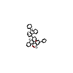 C1=CCCC(N2C3=C(C(C4CC=CC5=C4SC4CC=CC=C4C54c5ccccc5Sc5cc(C6=CCCC=C6)ccc54)=CCC3)C3C=CCCC32)=C1